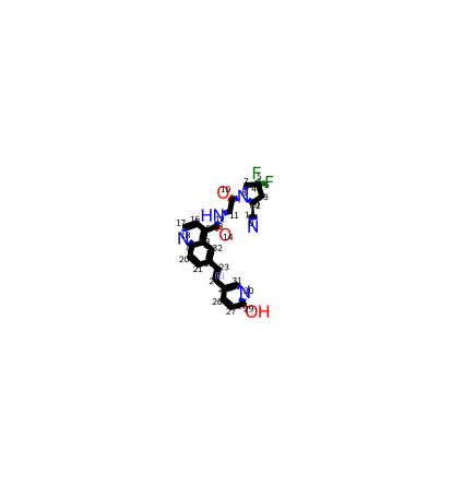 N#C[C@@H]1CC(F)(F)CN1C(=O)CNC(=O)c1ccnc2ccc(/C=C/c3ccc(O)nc3)cc12